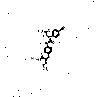 CCCC(Cc1ccc(NC(=O)N(NC(C)=O)c2ccc(C#N)cc2)cc1)C(=O)OC